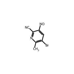 Cc1nc(C#N)c(N=O)cc1Br